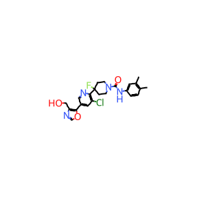 Cc1ccc(NC(=O)N2CCC(F)(c3ncc(-c4ocnc4CO)cc3Cl)CC2)cc1C